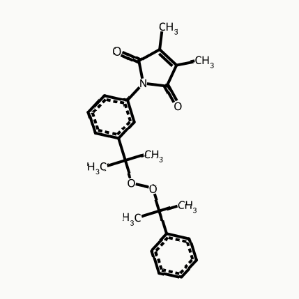 CC1=C(C)C(=O)N(c2cccc(C(C)(C)OOC(C)(C)c3ccccc3)c2)C1=O